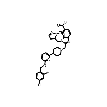 Cn1nccc1Cn1c(CN2CCC(c3cccc(OCc4ccc(Cl)cc4F)n3)CC2)nc2ccc(C(=O)O)cc21